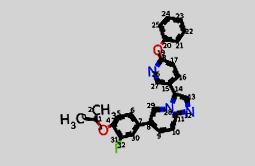 CC(C)Oc1ccc(-c2ccc3ncc(-c4ccc(Oc5ccccc5)nc4)n3c2)cc1F